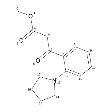 COC(=O)CC(=O)c1ccccc1N1CCCC1